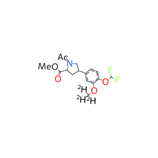 [2H]C([2H])([2H])Oc1cc(C2CC(C(=O)OC)N(C(C)=O)C2)ccc1OC(F)F